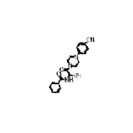 CC(C)C(NC(=O)c1ccccc1)C(=O)N1CCN(c2ccc(C#N)cc2)CC1